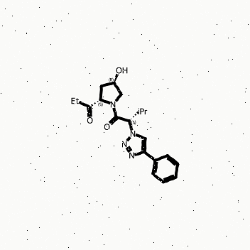 CCC(=O)[C@@H]1C[C@@H](O)CN1C(=O)[C@H](C(C)C)n1cc(-c2ccccc2)nn1